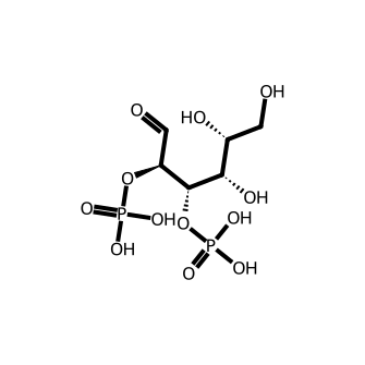 O=C[C@H](OP(=O)(O)O)[C@@H](OP(=O)(O)O)[C@@H](O)[C@H](O)CO